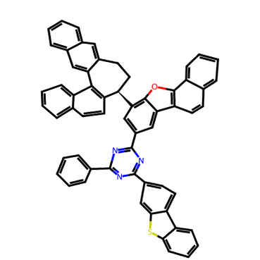 c1ccc(-c2nc(-c3ccc4c(c3)sc3ccccc34)nc(-c3cc([C@@H]4CCc5cc6ccccc6cc5-c5c4ccc4ccccc54)c4oc5c6ccccc6ccc5c4c3)n2)cc1